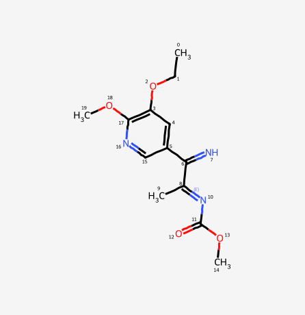 CCOc1cc(C(=N)/C(C)=N/C(=O)OC)cnc1OC